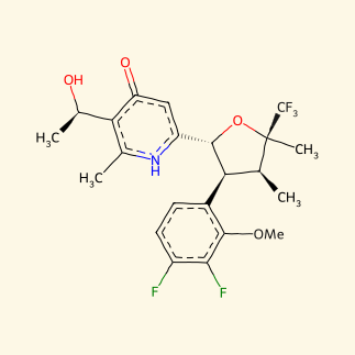 COc1c([C@H]2[C@H](c3cc(=O)c([C@@H](C)O)c(C)[nH]3)O[C@@](C)(C(F)(F)F)[C@H]2C)ccc(F)c1F